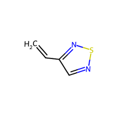 C=Cc1cnsn1